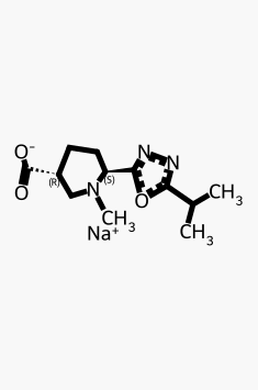 CC(C)c1nnc([C@@H]2CC[C@@H](C(=O)[O-])CN2C)o1.[Na+]